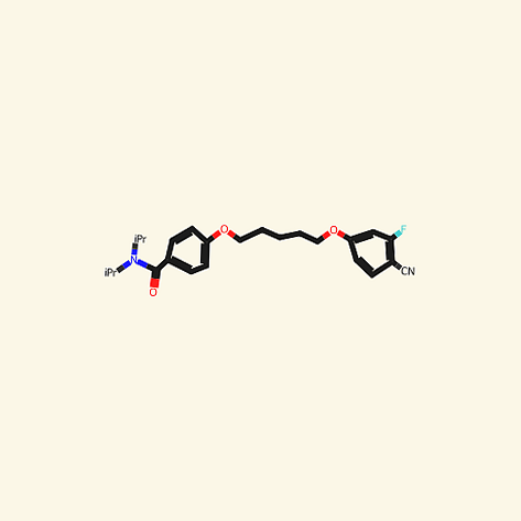 CC(C)N(C(=O)c1ccc(OCCCCCOc2ccc(C#N)c(F)c2)cc1)C(C)C